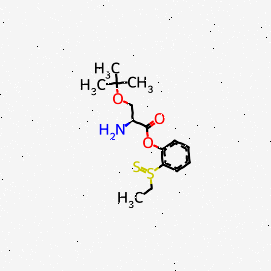 CCS(=S)c1ccccc1OC(=O)[C@@H](N)COC(C)(C)C